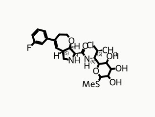 CSC1OC([C@H](NC(=O)[C@H]2NC[C@@H]3C=C(c4cccc(F)c4)CCO[C@@H]23)[C@H](C)Cl)C(O)C(O)C1O